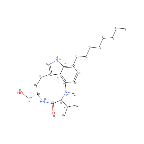 CCCCCCCCc1ccc2c3c(c[nH]c13)CC[C@@H](CO)NC(=O)C(C(C)C)N2C